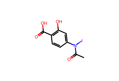 CC(=O)N(I)c1ccc(C(=O)O)c(O)c1